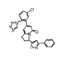 O=c1cc(-c2cc(Cl)ccc2-n2cnnn2)cc2n1C(c1cc(-c3cc[c]cc3)no1)CC2